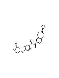 O=C1CC(Oc2cnc(C(=O)Nc3ccc4c(c3)CCN(C3CCC3)CC4)cn2)CCO1